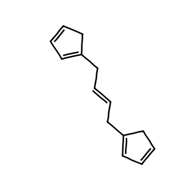 C1=CCC(CC=CCC2=CC=CC2)=C1